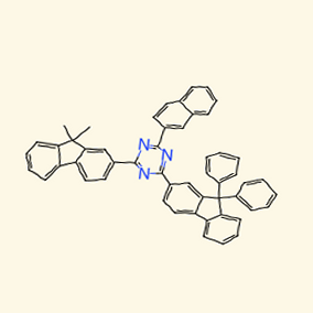 CC1(C)c2ccccc2-c2ccc(-c3nc(-c4ccc5c(c4)C(c4ccccc4)(c4ccccc4)c4ccccc4-5)nc(-c4ccc5ccccc5c4)n3)cc21